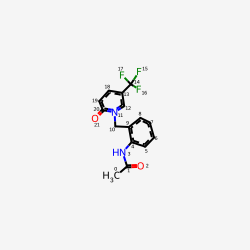 CC(=O)Nc1ccccc1Cn1cc(C(F)(F)F)ccc1=O